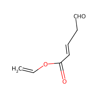 C=COC(=O)C=CCC=O